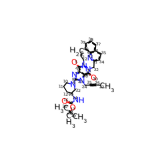 C=CCn1c(=O)c2nc(N3CCC[C@@H](NC(=O)OC(C)(C)C)C3)n(CC#CC)c2c(=O)n1Cc1ccc2ccccc2n1